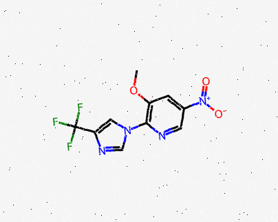 COc1cc([N+](=O)[O-])cnc1-n1cnc(C(F)(F)F)c1